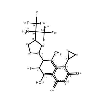 CC1=c2c(c(=O)[nH]c(=O)n2C2CC2)=C(O)C(F)C1N1CCC(C(N)(C(F)(F)F)C(F)(F)F)C1